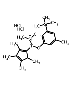 CC1=C(C)C(C)[C]([Ti]([O]c2cc(C)cc([Si](C)(C)C)c2)[SiH](C)C)=C1C.Cl.Cl